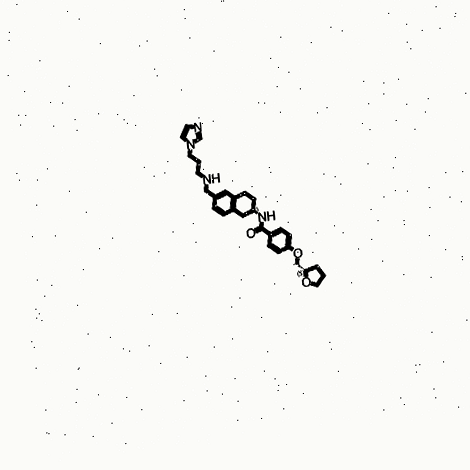 O=C(N[C@H]1CCc2cc(CNCCCn3ccnc3)ccc2C1)c1ccc(OC[C@@H]2CCCO2)cc1